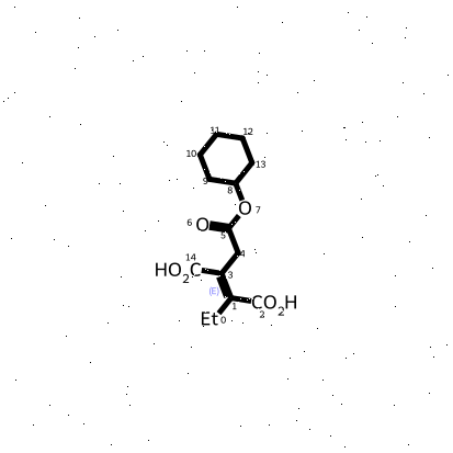 CC/C(C(=O)O)=C(/CC(=O)OC1CCCCC1)C(=O)O